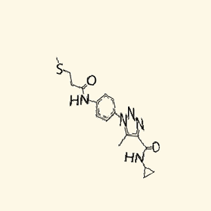 CSCCC(=O)Nc1ccc(-n2nnc(C(=O)NC3CC3)c2C)cc1